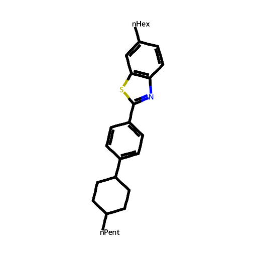 CCCCCCc1ccc2nc(-c3ccc(C4CCC(CCCCC)CC4)cc3)sc2c1